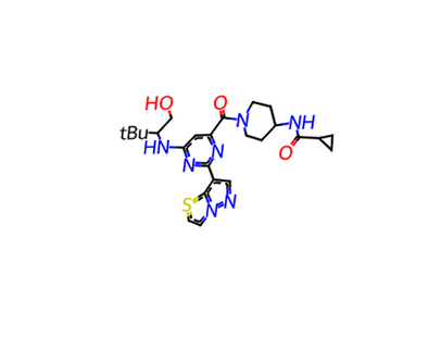 CC(C)(C)C(CO)Nc1cc(C(=O)N2CCC(NC(=O)C3CC3)CC2)nc(-c2cnn3ccsc23)n1